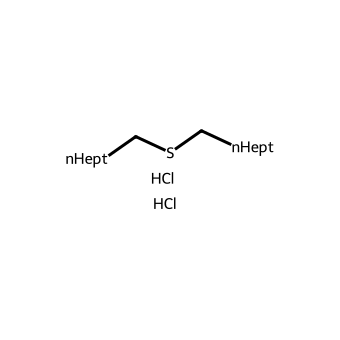 CCCCCCCCSCCCCCCCC.Cl.Cl